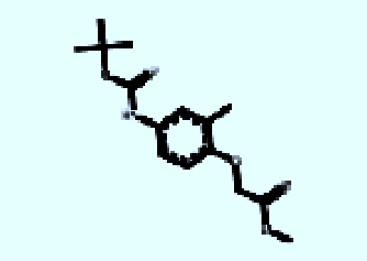 COC(=O)COc1ccc(NC(=O)OC(C)(C)C)cc1C